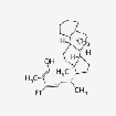 CCC(=CCC(C)[C@H]1CC[C@H]2[C@@H]3CCC4CCCC[C@]4(C)[C@H]3CC[C@]12C)C(C)=CO